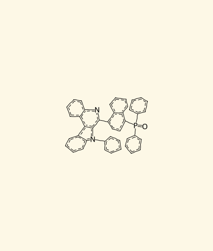 O=P(c1ccccc1)(c1ccccc1)c1ccc(-c2nc3ccccc3c3c4ccccc4n(-c4ccccc4)c23)c2ccccc12